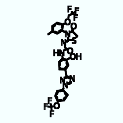 Cc1ccc(OCC(F)(F)F)c(N2C(=O)CSC2=NC(=O)Nc2ccc(-c3ncn(-c4ccc(OC(F)(F)F)cc4)n3)cc2O)c1